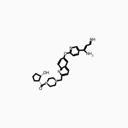 N=C/C=C(\N)c1ccc(Oc2ccc3nc(CN4CCN(C(=O)[C@@H]5CCC[C@@H]5O)CC4)ccc3c2)nc1